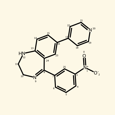 O=[N+]([O-])c1cccc(C2=NCCNc3ccc(-c4ccncc4)cc32)c1